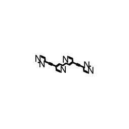 C(#Cc1ccncn1)c1ccnc(-c2cc(C#Cc3ccncn3)ccn2)c1